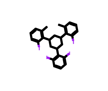 Cc1cccc(I)c1C1CC(c2c(C)cccc2I)CC(c2c(I)cccc2I)C1